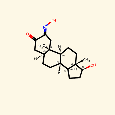 C[C@]12CC(=NO)C(=O)C[C@@H]1CC[C@@H]1[C@@H]2CC[C@]2(C)[C@@H](O)CC[C@@H]12